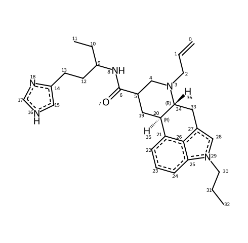 C=CCN1CC(C(=O)NC(CC)CCc2c[nH]cn2)C[C@@H]2c3cccc4c3c(cn4CCC)C[C@H]21